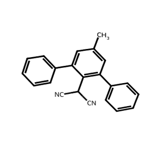 Cc1cc(-c2ccccc2)c(C(C#N)C#N)c(-c2ccccc2)c1